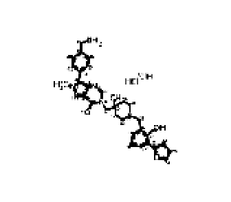 Cl.Cl.Cn1nc2c(=O)n(CC3(O)CCN(Cc4cccc(-c5ccco5)c4O)CC3)cnc2c1-c1ccc(CN)cc1